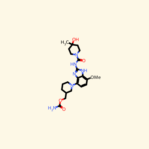 COc1ccc(N2CCCC(COC(N)=O)C2)c2nc(NC(=O)N3CCC(C)(O)CC3)[nH]c12